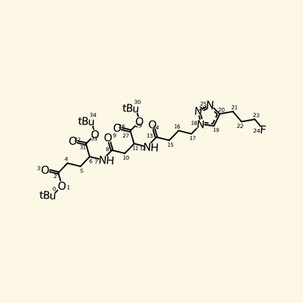 CC(C)(C)OC(=O)CCC(NC(=O)CC(NC(=O)CCCn1cc(CCCF)nn1)C(=O)OC(C)(C)C)C(=O)OC(C)(C)C